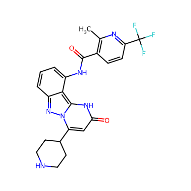 Cc1nc(C(F)(F)F)ccc1C(=O)Nc1cccc2nn3c(C4CCNCC4)cc(=O)[nH]c3c12